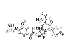 CC[C@@]1(N)COc2c1cc(C(O)(CNC(=O)c1ccc(OC[C@@H](C)O)c(OC)c1)C(F)(F)F)nc2-c1ccc(F)cc1